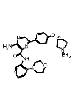 BN1CC[C@@H](Oc2ccc(-c3cnc(N)c(C(=O)Nc4cnccc4N4CCOCC4)n3)cc2)C1